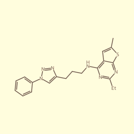 CCc1nc(NCCCc2cn(-c3ccccc3)nn2)c2cc(C)sc2n1